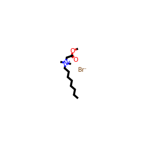 CCCCCCCC[N+](C)(C)CC(=O)OC.[Br-]